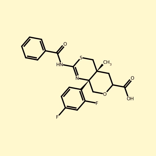 C[C@]12CSC(NC(=O)c3ccccc3)=N[C@@]1(c1ccc(F)cc1F)COC(C(=O)O)C2